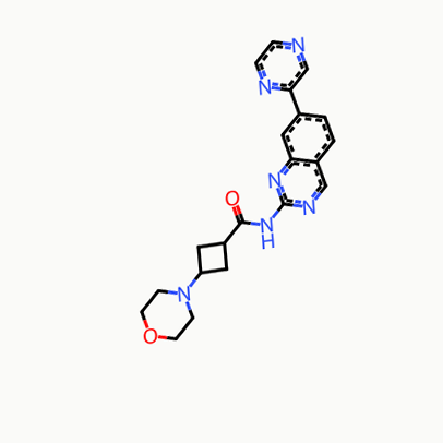 O=C(Nc1ncc2ccc(-c3cnccn3)cc2n1)C1CC(N2CCOCC2)C1